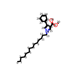 CCCCCCCCCCCCCCn1cc(C(=O)OC)c(-c2ccccc2)c1